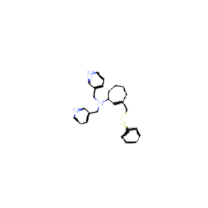 C1=C(CSc2ccccc2)CCCCC1N(Cc1cccnc1)Cc1cccnc1